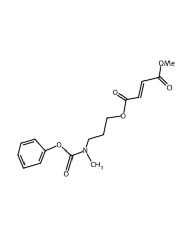 COC(=O)/C=C/C(=O)OCCCN(C)C(=O)Oc1ccccc1